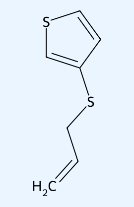 C=CCSc1ccsc1